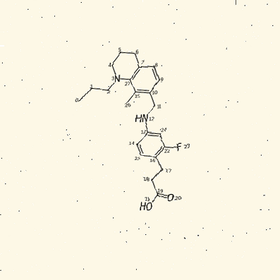 CCCN1CCCc2ccc(CNc3ccc(CCC(=O)O)c(F)c3)c(C)c21